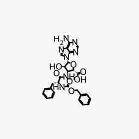 Nc1ncnc2c1ncn2[C@@H]1O[C@H](C(=O)O)[C@@H](NC(=O)[C@@H](Cc2ccccc2)NC(=O)OCc2ccccc2)[C@H]1O